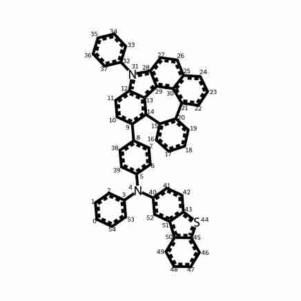 c1ccc(N(c2ccc(-c3ccc4c5c3-c3ccccc3-c3cccc6ccc(c5c36)n4-c3ccccc3)cc2)c2ccc3sc4ccccc4c3c2)cc1